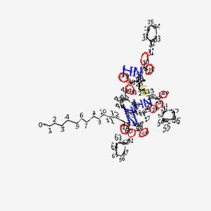 CCCCCCCCCCCCCC(=O)N[C@H](CCC(=O)N[C@H](CSC[C@H](NC(=O)OCc1ccccc1)C(=O)OCc1ccccc1)C(=O)OCc1ccccc1)C(=O)OCc1ccccc1